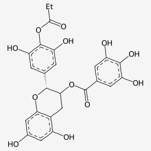 CCC(=O)Oc1c(O)cc([C@H]2Oc3cc(O)cc(O)c3CC2OC(=O)c2cc(O)c(O)c(O)c2)cc1O